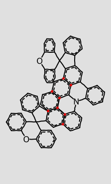 c1ccc(-c2ccccc2N(c2ccccc2-c2ccc3c(c2)-c2ccccc2C32c3ccccc3Oc3ccccc32)c2ccccc2-c2cccc3c2-c2ccccc2C32c3ccccc3Oc3ccccc32)cc1